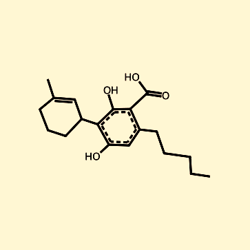 CCCCCc1cc(O)c(C2C=C(C)CCC2)c(O)c1C(=O)O